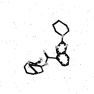 O=C(N[C@@H]1CC2CCN1CC2)c1cccc2oc(N3CCCCC3)nc12